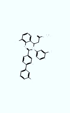 C=C(CC1c2cccc(F)c2N=C(c2ccc(-c3cccc(Cl)c3)cc2)N1c1cccc(C(F)(F)F)c1)OC